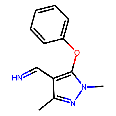 Cc1nn(C)c(Oc2ccccc2)c1C=N